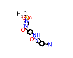 CCS(=O)(=O)N1CCN(C(=O)c2ccc(NC(=O)N3Cc4ccc(C#N)cc4C3)cc2)CC1